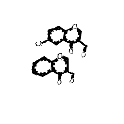 O=Cc1coc2ccc(Cl)cc2c1=O.O=Cc1coc2ccccc2c1=O